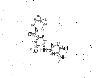 CNc1nc(Nc2ccc(C(=O)N3CCC(C)(C)CC3)cc2OC)ncc1Cl